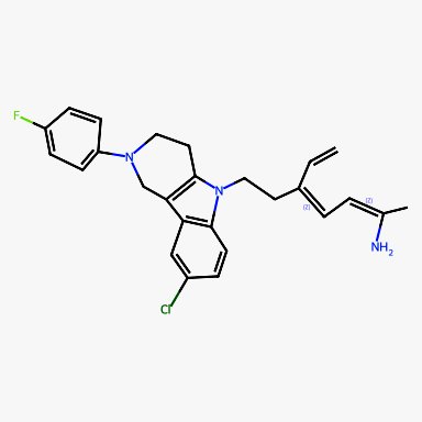 C=C/C(=C\C=C(\C)N)CCn1c2c(c3cc(Cl)ccc31)CN(c1ccc(F)cc1)CC2